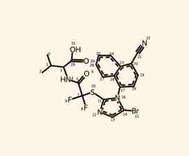 CC(C)C(NC(=O)C(F)(F)Sc1ncc(Br)n1-c1ccc(C#N)c2ccccc12)C(=O)O